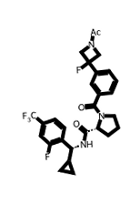 CC(=O)N1CC(F)(c2cccc(C(=O)N3CCC[C@@H]3C(=O)N[C@@H](c3ccc(C(F)(F)F)cc3F)C3CC3)c2)C1